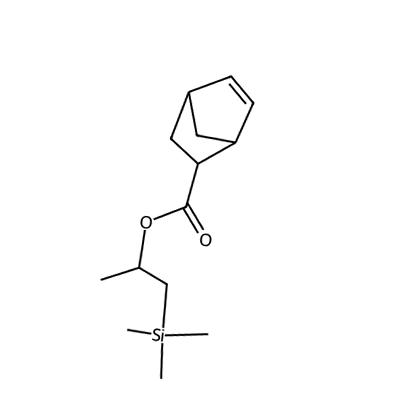 CC(C[Si](C)(C)C)OC(=O)C1CC2C=CC1C2